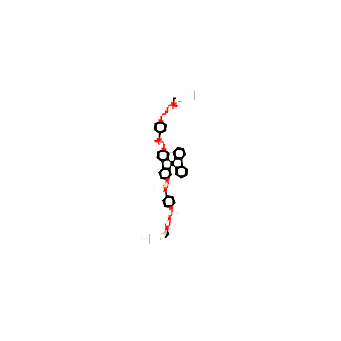 C=CC(=O)OCOc1ccc(C(=O)Oc2ccc3c(c2)C2(c4ccccc4-c4ccccc42)c2cc(OC(=O)c4ccc(OCOC(=O)C=C)cc4)ccc2-3)cc1